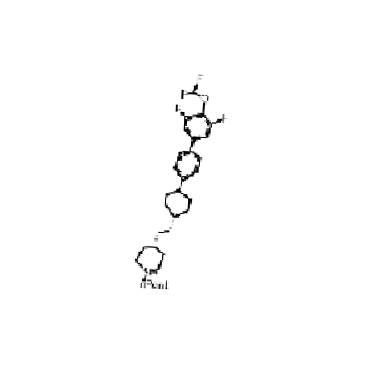 CCCCC[Si@H]1CC[C@H](CC[C@H]2CC[C@H](c3ccc(-c4cc(F)c(OC(F)F)c(F)c4)cc3)CC2)CC1